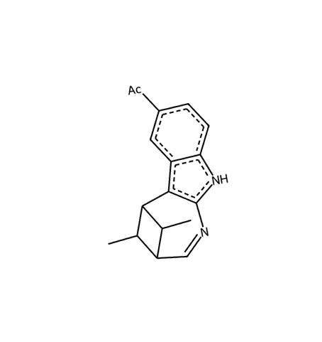 CC(=O)c1ccc2[nH]c3c(c2c1)C1C(C)C(C=N3)C1C